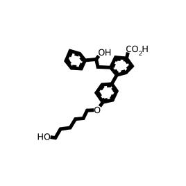 O=C(O)c1ccc(-c2ccc(OCCCCCCO)cc2)c(CC(O)c2ccccc2)c1